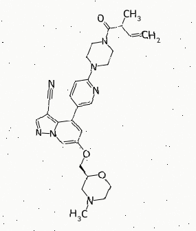 C=CC(C)C(=O)N1CCN(c2ccc(-c3cc(OC[C@@H]4CN(C)CCO4)cn4ncc(C#N)c34)cn2)CC1